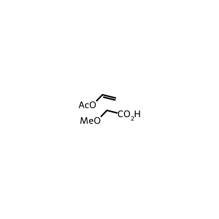 C=COC(C)=O.COCC(=O)O